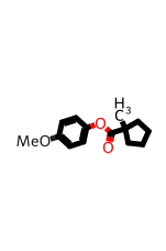 COc1ccc(OC(=O)C2(C)CCCC2)cc1